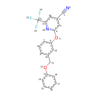 N#Cc1cc(Oc2cccc(COc3ccccc3)c2)nc(C(F)(F)F)c1